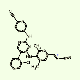 Cc1cc(/C=C/C#N)cc(C)c1Nc1nc(Nc2ccc(C#N)cc2)ncc1-c1ccccc1Cl